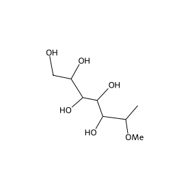 COC(C)C(O)C(O)C(O)C(O)CO